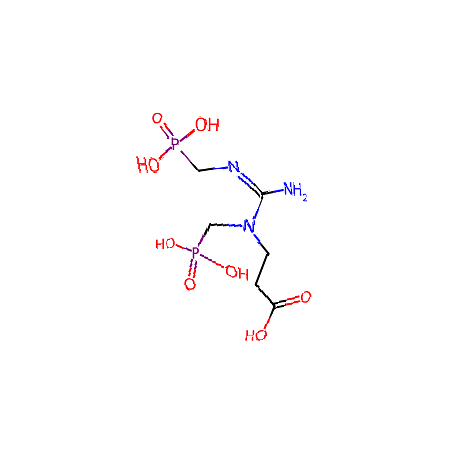 NC(=NCP(=O)(O)O)N(CCC(=O)O)CP(=O)(O)O